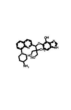 CC(CO)(CO)C(Oc1ccc2[nH]cnc2c1O)c1ccc2cccc(N3CCC(N)CC3)c2n1